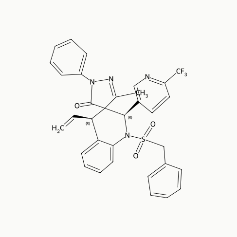 C=C[C@@H]1c2ccccc2N(S(=O)(=O)Cc2ccccc2)[C@H](c2ccc(C(F)(F)F)nc2)C12C(=O)N(c1ccccc1)N=C2C